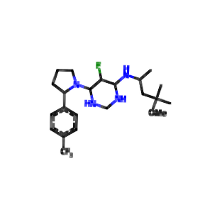 COC(C)(C)CC(C)NC1NCNC(N2CCCC2c2ccc(C(F)(F)F)cc2)C1F